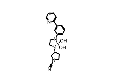 N#CN1CC[C@H](N2CCN(c3cccc(-c4ccccn4)c3)S2(O)O)C1